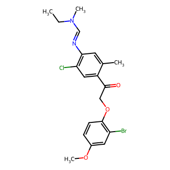 CCN(C)C=Nc1cc(C)c(C(=O)COc2ccc(OC)cc2Br)cc1Cl